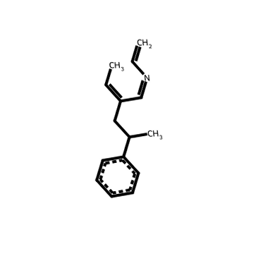 C=C/N=C\C(=C/C)CC(C)c1ccccc1